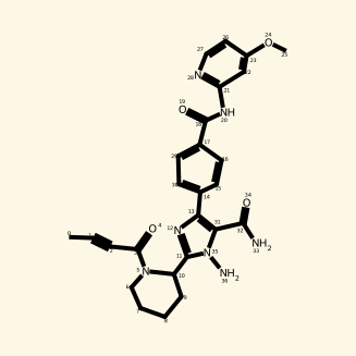 CC#CC(=O)N1CCCCC1c1nc(-c2ccc(C(=O)Nc3cc(OC)ccn3)cc2)c(C(N)=O)n1N